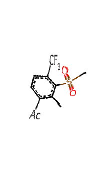 CC(=O)c1ccc(C(F)(F)F)c(S(C)(=O)=O)c1C